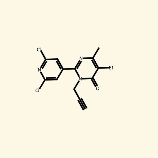 C#CCn1c(-c2cc(Cl)nc(Cl)c2)nc(C)c(CC)c1=O